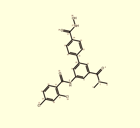 CN(C)C(=O)c1cc(NC(=O)c2ccc(Cl)cc2Cl)cc(-c2ccc(C(=O)NO)cc2)c1